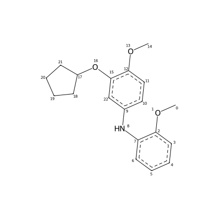 COc1ccccc1Nc1ccc(OC)c(OC2CCCC2)c1